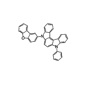 c1ccc(-n2c3ccccc3c3c4c5ccccc5n(-c5ccc6oc7ccccc7c6c5)c4ccc32)cc1